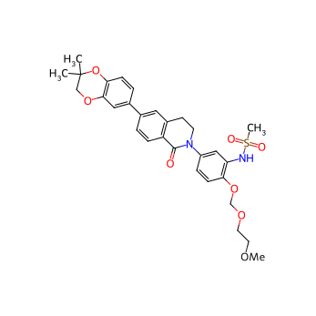 COCCOCOc1ccc(N2CCc3cc(-c4ccc5c(c4)OCC(C)(C)O5)ccc3C2=O)cc1NS(C)(=O)=O